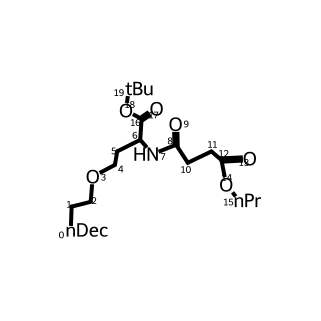 CCCCCCCCCCCCOCCC(NC(=O)CCC(=O)OCCC)C(=O)OC(C)(C)C